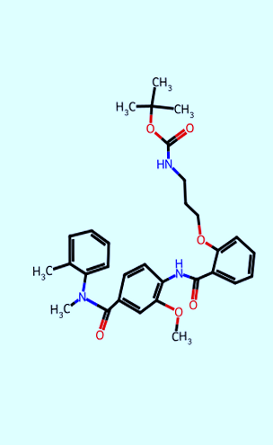 COc1cc(C(=O)N(C)c2ccccc2C)ccc1NC(=O)c1ccccc1OCCCNC(=O)OC(C)(C)C